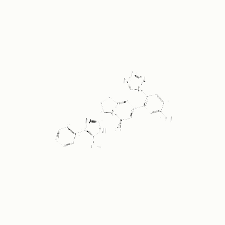 Cc1[nH]c([C@@H]2CCc3cc(-c4cc(Cl)ccc4-n4cnnn4)cc(=O)n32)nc1-c1cc[c]cc1